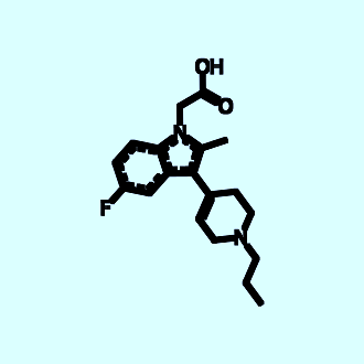 CCCN1CC=C(c2c(C)n(CC(=O)O)c3ccc(F)cc23)CC1